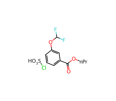 CCCOC(=O)c1cccc(OC(F)F)c1.O=S(=O)(O)Cl